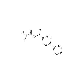 O=C(ON[SH](=O)=O)c1ccc(-c2ccccc2)cc1